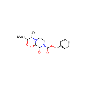 COC(=O)[C@H](C(C)C)N1CCN(C(=O)OCc2ccccc2)C(=O)C1=O